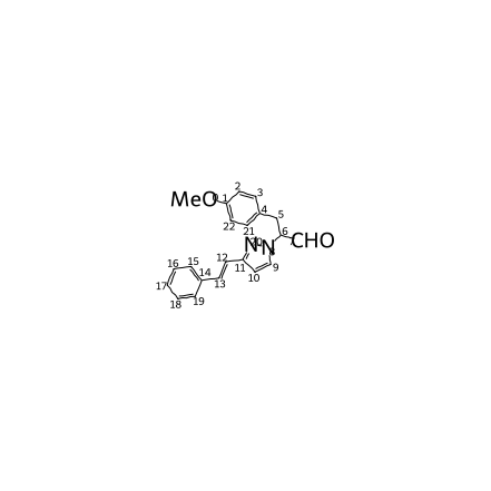 COc1ccc(CC(C=O)n2ccc(C=Cc3ccccc3)n2)cc1